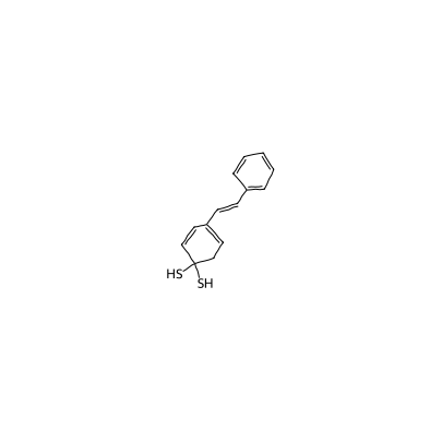 SC1(S)C=CC(C=Cc2ccccc2)=CC1